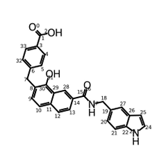 O=C(O)c1ccc(Cc2ccc3ccc(C(=O)NCc4ccc5[nH]ccc5c4)cc3c2O)cc1